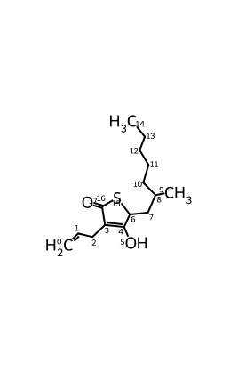 C=CCC1=C(O)C(CC(C)CCCCC)SC1=O